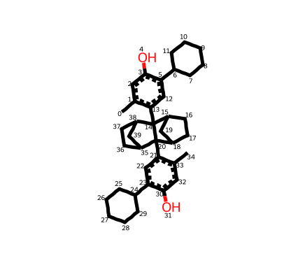 Cc1cc(O)c(C2CCCCC2)cc1C12C3CCC(C3)C1(c1cc(C3CCCCC3)c(O)cc1C)C1CCC2C1